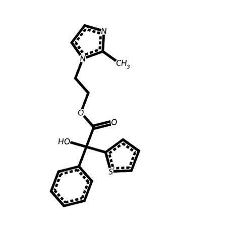 Cc1nccn1CCOC(=O)C(O)(c1ccccc1)c1cccs1